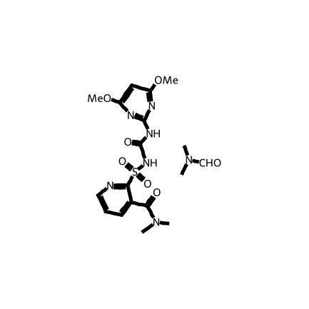 CN(C)C=O.COc1cc(OC)nc(NC(=O)NS(=O)(=O)c2ncccc2C(=O)N(C)C)n1